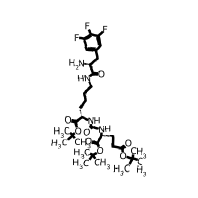 CC(C)(C)OC(=O)CC[C@H](NC(=O)N[C@@H](CCCCNC(=O)[C@@H](N)Cc1cc(F)c(F)c(F)c1)C(=O)OC(C)(C)C)C(=O)OC(C)(C)C